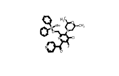 C[C@@H]1CN(c2c(CO[Si](c3ccccc3)(c3ccccc3)C(C)(C)C)nc(C(=O)c3ccncc3)c(F)c2Cl)C[C@H](C)O1